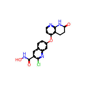 O=C1CCc2c(Oc3ccc4cc(C(=O)NO)c(Cl)nc4c3)ccnc2N1